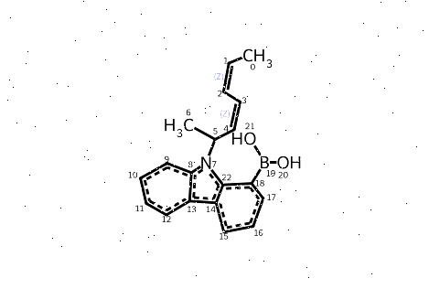 C/C=C\C=C/C(C)n1c2ccccc2c2cccc(B(O)O)c21